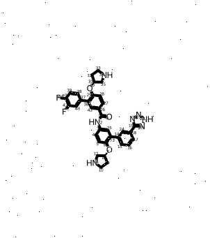 O=C(Nc1ccc(O[C@H]2CCNC2)c(-c2cccc(-c3nn[nH]n3)c2)c1)c1ccc(O[C@H]2CCNC2)c(-c2ccc(F)c(F)c2)c1